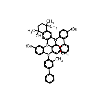 Cc1cc2c3c(c1)N(c1ccc(C(C)(C)C)cc1-c1ccccc1)c1cc4c(cc1B3c1cc(C(C)(C)C)ccc1N2c1ccc(-c2ccccc2)cc1C)C(C)(C)CCC4(C)C